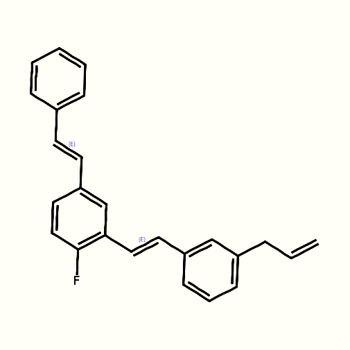 C=CCc1cccc(/C=C/c2cc(/C=C/c3ccccc3)ccc2F)c1